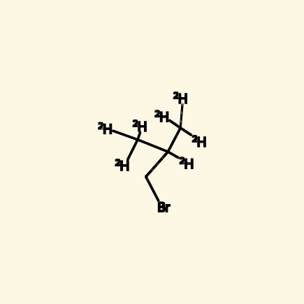 [2H]C([2H])([2H])C([2H])(CBr)C([2H])([2H])[2H]